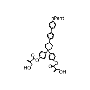 C=C(CO)C(=O)Oc1ccc(C2(c3ccc(OC(=O)C(=C)CO)cc3)CCC(c3ccc(-c4ccc(CCCCC)cc4)cc3)CC2)cc1